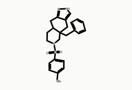 CC(C)(C)c1ccc(S(=O)(=O)N2CCC3Cc4n[nH]cc4CC3(Cc3ccccc3)C2)cc1